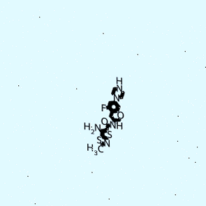 Cc1nc2sc(C(=O)N[C@H]3COc4cc(N5CCNCC5)cc(F)c4C3)c(N)c2s1